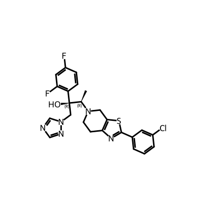 C[C@@H](N1CCc2nc(-c3cccc(Cl)c3)sc2C1)[C@](O)(Cn1cncn1)c1ccc(F)cc1F